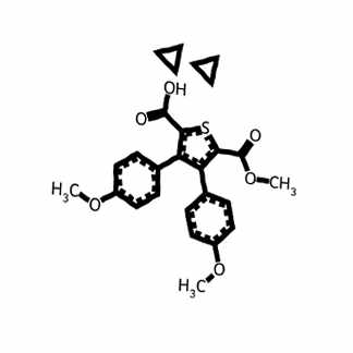 C1CC1.C1CC1.COC(=O)c1sc(C(=O)O)c(-c2ccc(OC)cc2)c1-c1ccc(OC)cc1